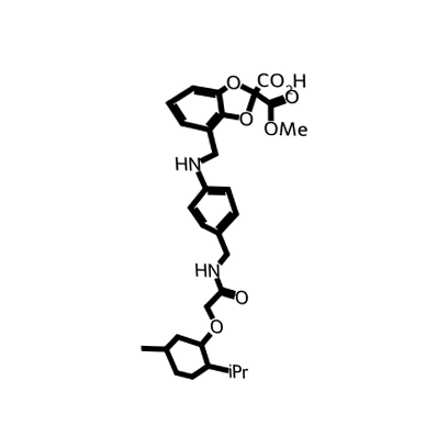 COC(=O)C1(C(=O)O)Oc2cccc(CNc3ccc(CNC(=O)COC4CC(C)CCC4C(C)C)cc3)c2O1